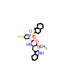 COC(=O)C(Cc1c[nH]c2ccccc12)NC(=O)[C@@H]1C[C@@H](S)CN1S(=O)(=O)c1ccc2ccccc2c1